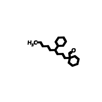 CCCCCC(CCCC1(C=O)CCCCC1)C1CCCCC1